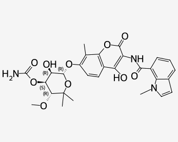 CO[C@@H]1[C@@H](OC(N)=O)[C@@H](O)[C@H](Oc2ccc3c(O)c(NC(=O)c4cccc5ccn(C)c45)c(=O)oc3c2C)OC1(C)C